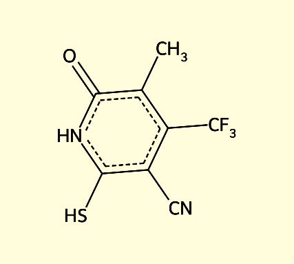 Cc1c(C(F)(F)F)c(C#N)c(S)[nH]c1=O